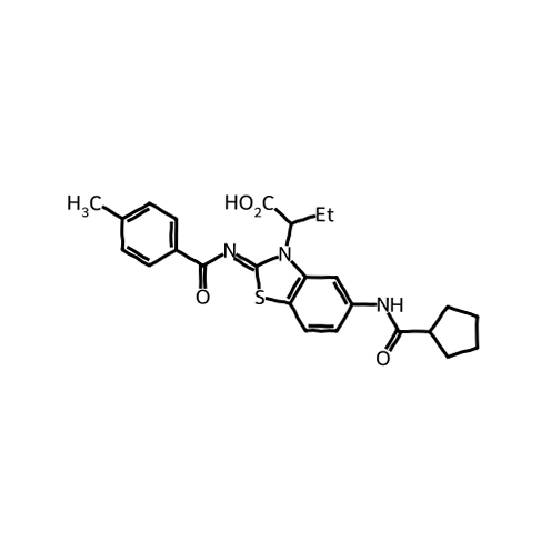 CCC(C(=O)O)n1c(=NC(=O)c2ccc(C)cc2)sc2ccc(NC(=O)C3CCCC3)cc21